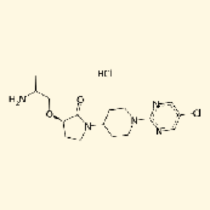 CC(N)CO[C@@H]1CCN(C2CCN(c3ncc(Cl)cn3)CC2)C1=O.Cl